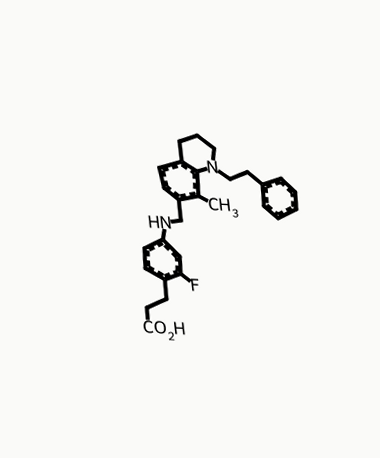 Cc1c(CNc2ccc(CCC(=O)O)c(F)c2)ccc2c1N(CCc1ccccc1)CCC2